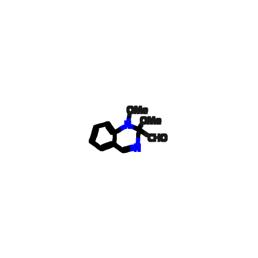 CON1c2ccccc2C=NC1(C=O)OC